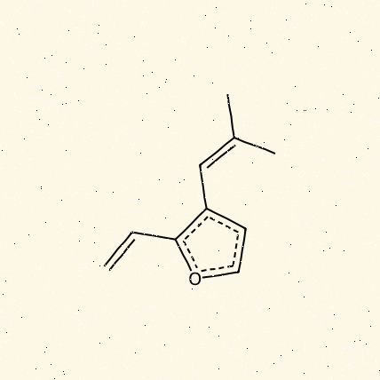 C=Cc1occc1C=C(C)C